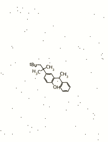 CC(c1ccccc1)c1cc(C(C)(C)CC(C)(C)C)ccc1O